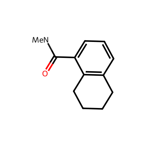 CNC(=O)c1cccc2c1CCCC2